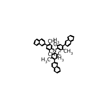 Cc1cc(N(c2cc(C)c(-c3ccc4ccccc4c3)cc2C)c2cc(C)c(-c3ccc4ccccc4c3)cc2C)c(C)cc1-c1ccc2ccccc2c1